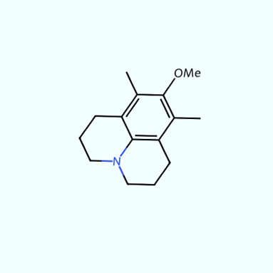 COc1c(C)c2c3c(c1C)CCCN3CCC2